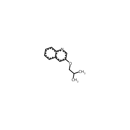 CC(C)COc1cnc2ccccc2c1